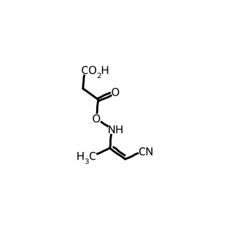 CC(=CC#N)NOC(=O)CC(=O)O